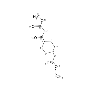 CCOC(=O)CC1CCC(C(=O)CC(=O)OC)CC1